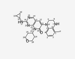 Cc1cccc2c1NCCN2c1cc2cnc(NC3CC3)nc2n(C2CCOCC2)c1=O